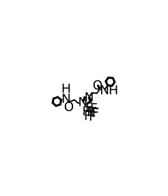 F[P-](F)(F)(F)(F)F.O=C(CCn1cc[n+](CCC(=O)Nc2ccccc2)c1)Nc1ccccc1